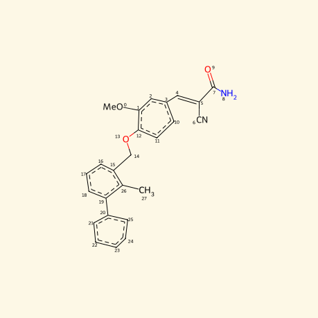 COc1cc(/C=C(\C#N)C(N)=O)ccc1OCc1cccc(-c2ccccc2)c1C